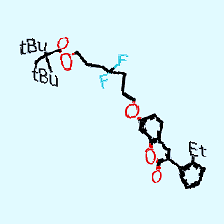 CCc1ccccc1-c1cc2ccc(OCCCC(F)(F)CCCOC(=O)C(C)(CC(C)(C)C)C(C)(C)C)cc2oc1=O